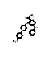 NC(=O)c1cnc(Nc2ccccn2)cc1N[C@H]1CCN(c2ccc(N)cn2)C[C@H]1F